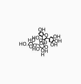 O=c1c(O[C@@H]2O[C@H](CO[C@@H]3O[C@H](CO)C[C@H]3O)[C@H](O)[C@H](O)[C@H]2O)c(-c2cc(O)c(O)c(O)c2)oc2cc(O)cc(O)c12